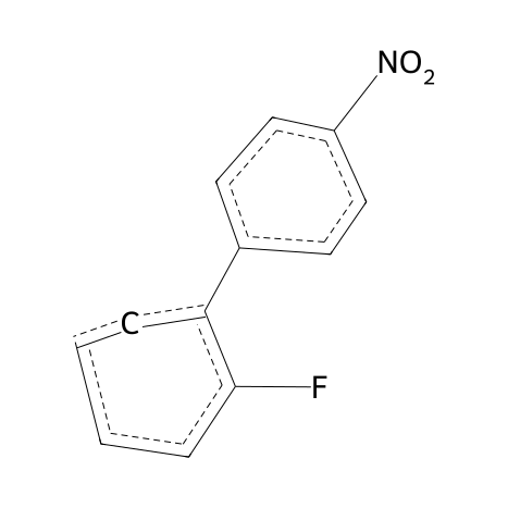 O=[N+]([O-])c1ccc(-c2ccccc2F)cc1